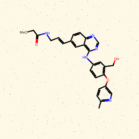 COCC(=O)NCC=Cc1ccc2ncnc(Nc3ccc(Oc4ccc(C)nc4)c(CO)c3)c2c1